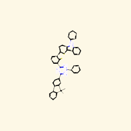 CC1(C)c2ccccc2-c2ccc(-c3nc(-c4ccccc4)nc(-c4cccc5c4sc4c5ccc5c4c4ccccc4n5-c4ccccc4)n3)cc21